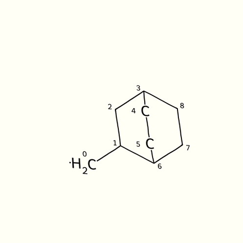 [CH2]C1CC2CCC1CC2